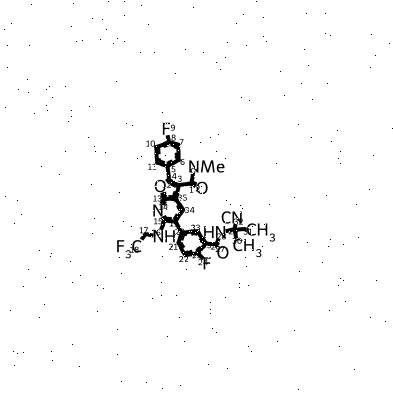 CNC(=O)c1c(-c2ccc(F)cc2)oc2nc(NCC(F)(F)F)c(-c3ccc(F)c(C(=O)NC(C)(C)C#N)c3)cc12